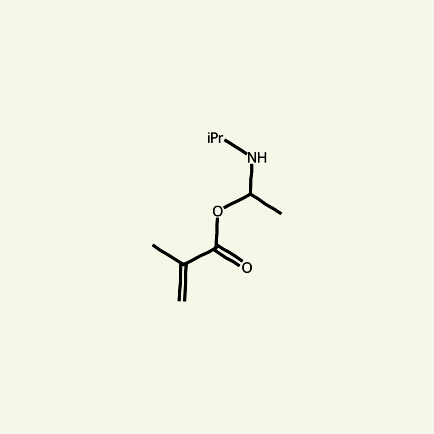 C=C(C)C(=O)OC(C)NC(C)C